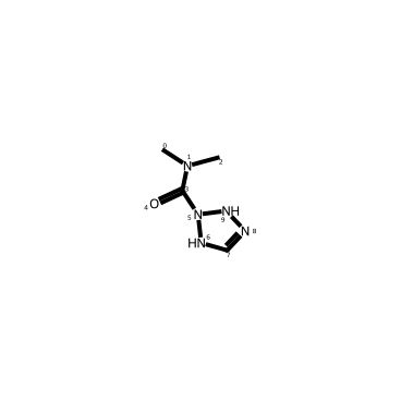 CN(C)C(=O)N1NC=NN1